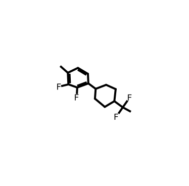 Cc1ccc(C2CCC(C(C)(F)F)CC2)c(F)c1F